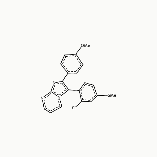 COc1ccc(-c2nc3ncccn3c2-c2ccc(SC)cc2Cl)cc1